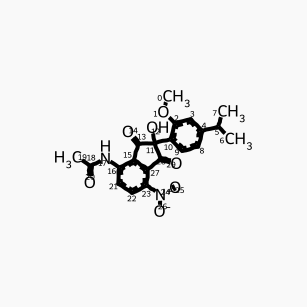 COc1cc(C(C)C)ccc1C1(O)C(=O)c2c(NC(C)=O)ccc([N+](=O)[O-])c2C1=O